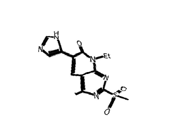 CCn1c(=O)c(-c2cnc[nH]2)cc2c(C)nc(S(C)(=O)=O)nc21